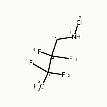 FC(F)(F)C(F)(F)C(F)(F)CNCl